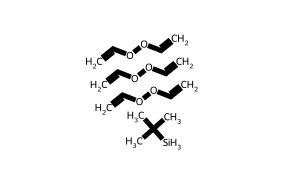 C=COOC=C.C=COOC=C.C=COOC=C.CC(C)(C)[SiH3]